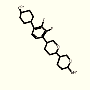 CCCC1CCC(c2ccc(C3CCC(C4CCC(CCC)OC4)OC3)c(F)c2F)CC1